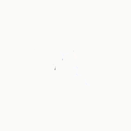 C=CC(=O)N1Cc2sc(Cl)cc2[C@H](c2ccccc2-c2cn(-c3ccccn3)nc2C)C1